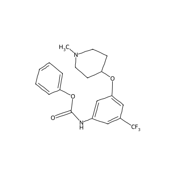 CN1CCC(Oc2cc(NC(=O)Oc3ccccc3)cc(C(F)(F)F)c2)CC1